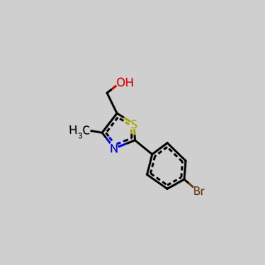 Cc1nc(-c2ccc(Br)cc2)sc1CO